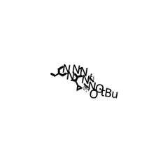 C=Cc1ccnc(-n2cc(C3CC3)c3c(N4C[C@@H](C)N(C(=O)OC(C)(C)C)C[C@@H]4C)ncnc32)c1